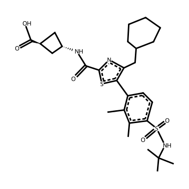 Cc1c(-c2sc(C(=O)N[C@H]3C[C@H](C(=O)O)C3)nc2CC2CCCCC2)ccc(S(=O)(=O)NC(C)(C)C)c1C